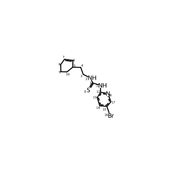 S=C(NCCC1C=CCCC1)Nc1ccc(Br)cn1